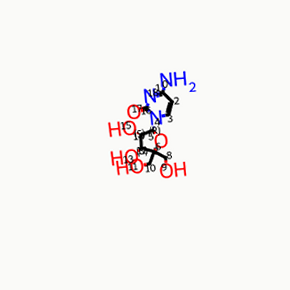 Nc1ccn([C@@H]2OC(CO)(CO)[C@@H](O)[C@@H]2O)c(=O)n1